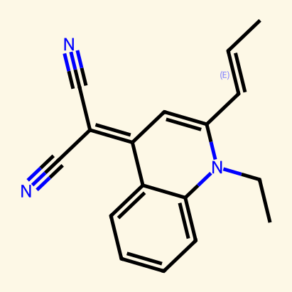 C/C=C/C1=CC(=C(C#N)C#N)c2ccccc2N1CC